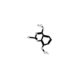 COc1nc(Cl)nc2c(OC)cccc12